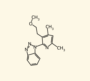 COCCc1c(C)cc(C)nc1-n1nnc2ccccc21